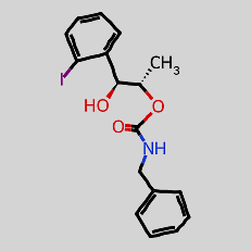 C[C@H](OC(=O)NCc1ccccc1)[C@@H](O)c1ccccc1I